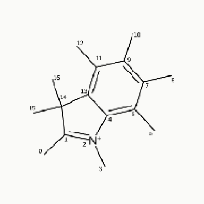 CC1=[N+](C)c2c(C)c(C)c(C)c(C)c2C1(C)C